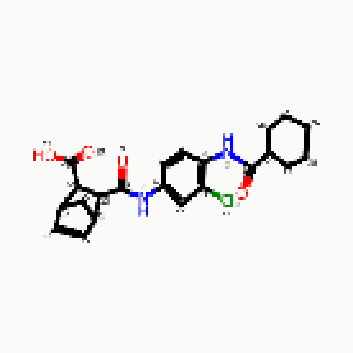 O=C(Nc1ccc(NC(=O)C2C3C=CC(C3)C2C(=O)O)cc1Cl)C1CCCCC1